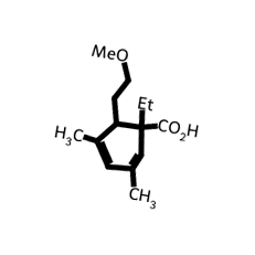 CCC1(C(=O)O)C=C(C)C=C(C)C1CCOC